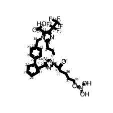 CCCc1nc(C(F)(F)C(F)(F)F)c(C(=O)O)n1Cc1ccc(-c2ccccc2-c2nnn(C(=O)CCCCON(O)O)n2)cc1